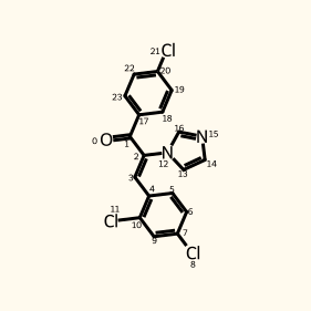 O=C(C(=Cc1ccc(Cl)cc1Cl)n1ccnc1)c1ccc(Cl)cc1